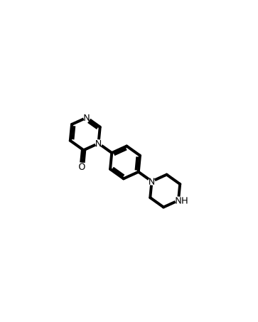 O=c1ccncn1-c1ccc(N2CCNCC2)cc1